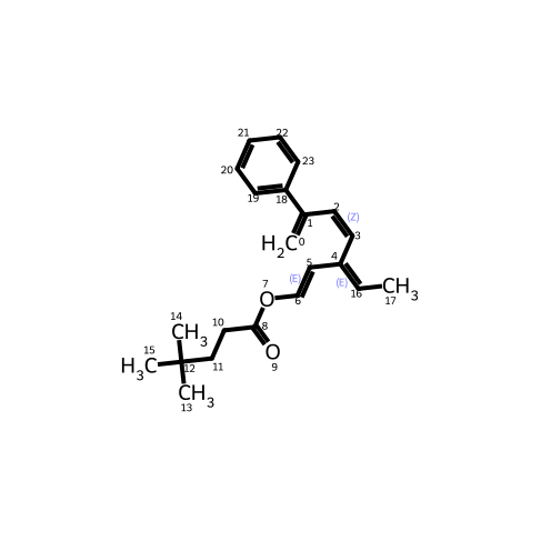 C=C(\C=C/C(/C=C/OC(=O)CCC(C)(C)C)=C\C)c1ccccc1